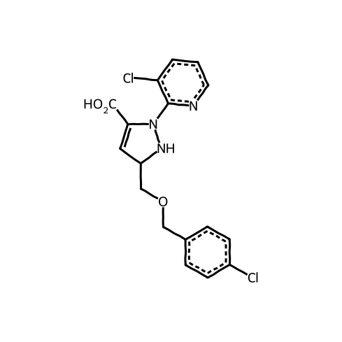 O=C(O)C1=CC(COCc2ccc(Cl)cc2)NN1c1ncccc1Cl